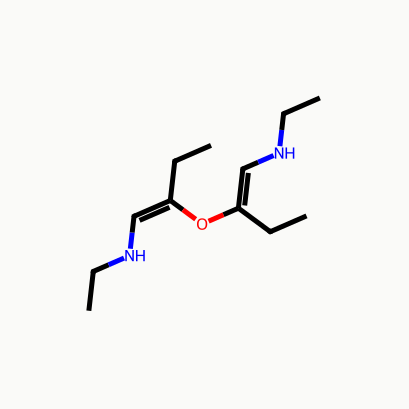 CCNC=C(CC)OC(=CNCC)CC